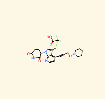 Cc1cn(C2CCC(=O)NC2=O)c2nccc(C#CCON3CCCCC3)c12.O=C(O)C(F)(F)F